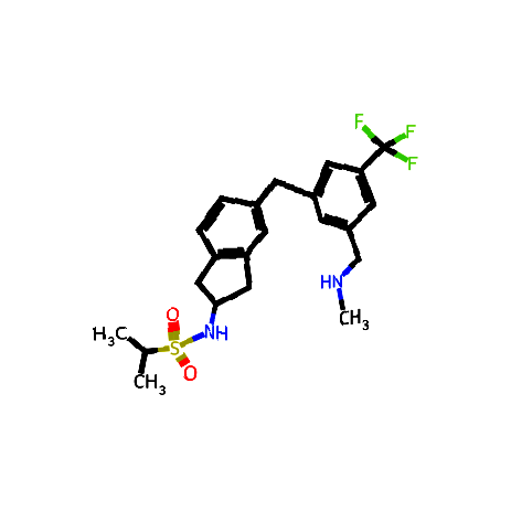 CNCc1cc(Cc2ccc3c(c2)CC(NS(=O)(=O)C(C)C)C3)cc(C(F)(F)F)c1